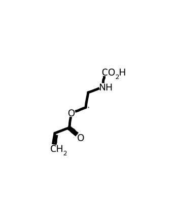 C=CC(=O)O[CH]CNC(=O)O